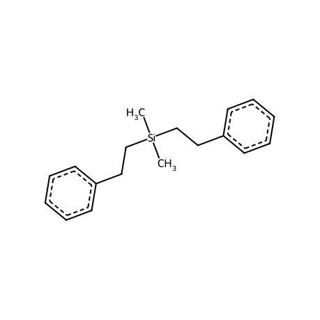 C[Si](C)(CCc1ccccc1)CCc1ccccc1